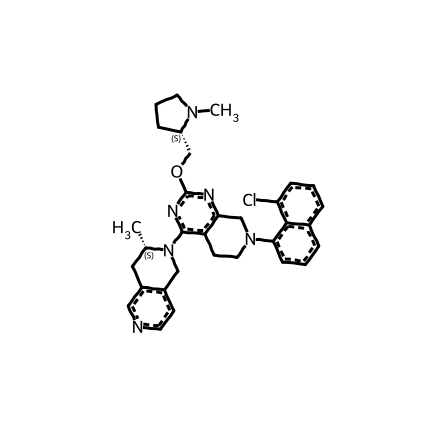 C[C@H]1Cc2cnccc2CN1c1nc(OC[C@@H]2CCCN2C)nc2c1CCN(c1cccc3cccc(Cl)c13)C2